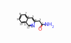 NC(=O)Cc1cc2ccccc2cn1